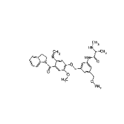 C=Nc1cc(OCc2cc(COP)cc(NC(=O)C(C)NC)c2)c(OC)cc1C(=O)N1CCc2ccccc21